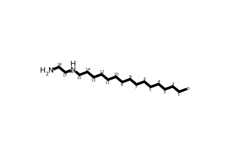 CCCCCCCCCCCCCCCCNCCN